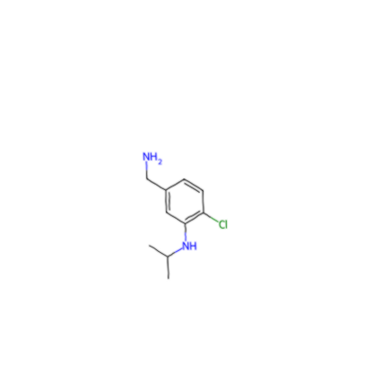 CC(C)Nc1cc(CN)ccc1Cl